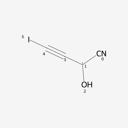 N#C[C](O)C#CI